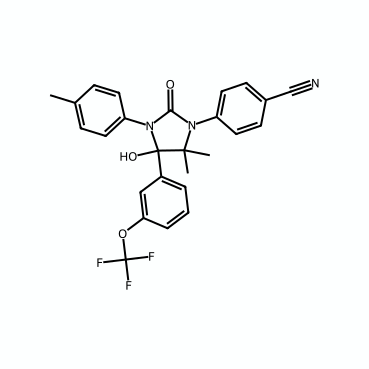 Cc1ccc(N2C(=O)N(c3ccc(C#N)cc3)C(C)(C)C2(O)c2cccc(OC(F)(F)F)c2)cc1